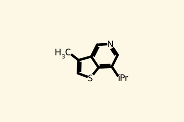 Cc1csc2c(C(C)C)cncc12